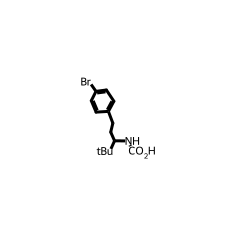 CC(C)(C)C(CCc1ccc(Br)cc1)NC(=O)O